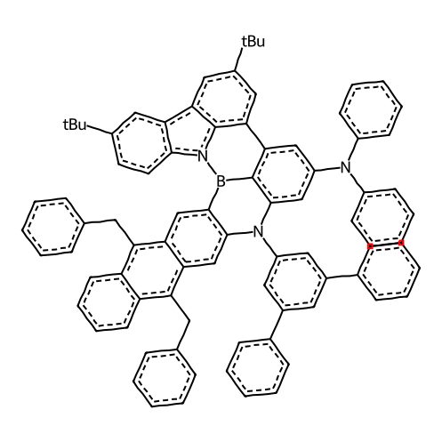 CC(C)(C)c1ccc2c(c1)c1cc(C(C)(C)C)cc3c1n2B1c2cc4c(Cc5ccccc5)c5ccccc5c(Cc5ccccc5)c4cc2N(c2cc(-c4ccccc4)cc(-c4ccccc4)c2)c2cc(N(c4ccccc4)c4ccccc4)cc-3c21